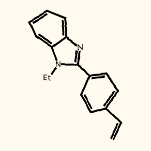 C=Cc1ccc(-c2nc3ccccc3n2CC)cc1